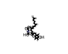 Cc1c(C)c2c(c(C)c1O)CC[C@@](C)(CCCC(C)CCCC(C)CCCC(C)C)O2.O=C(O)/C=C/C(=O)O